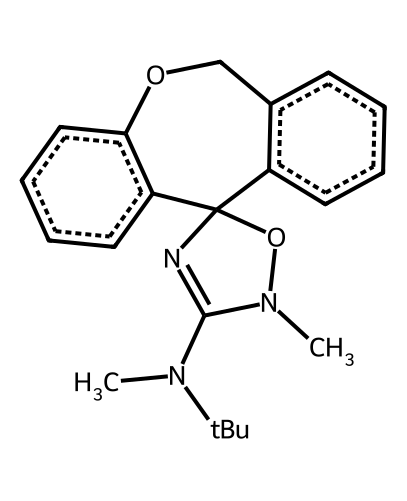 CN1OC2(N=C1N(C)C(C)(C)C)c1ccccc1COc1ccccc12